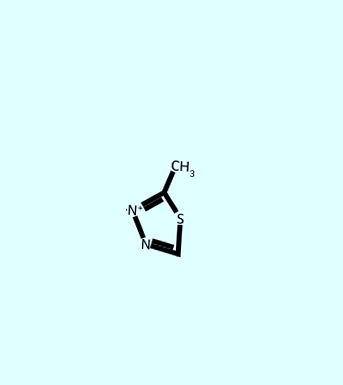 CC1=[N+]N=CS1